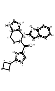 O=C(c1cnc(C2CCC2)s1)N1CCc2[nH]cnc2[C@H]1c1cc2ccccc2o1